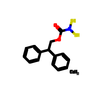 O=C(OCC(c1ccccc1)c1ccccc1)N(S)S.[CaH2]